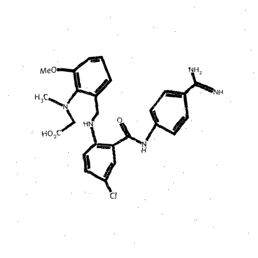 COc1cccc(CNc2ccc(Cl)cc2C(=O)Nc2ccc(C(=N)N)cc2)c1N(C)CC(=O)O